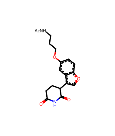 CC(=O)NCCCOc1ccc2occ(C3CCC(=O)NC3=O)c2c1